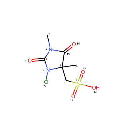 CN1C(=O)N(Cl)C(C)(CS(=O)(=O)O)C1=O